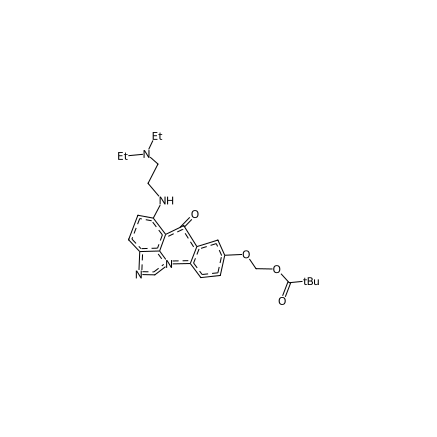 CCN(CC)CCNc1ccc2ncn3c4ccc(OCOC(=O)C(C)(C)C)cc4c(=O)c1c23